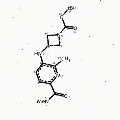 CNC(=O)c1ccc(NC2CN(C(=O)OC(C)(C)C)C2)c(C)n1